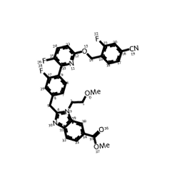 COCCn1c(Cc2ccc(-c3nc(OCc4ccc(C#N)cc4F)ccc3F)c(F)c2)nc2ccc(C(=O)OC)cc21